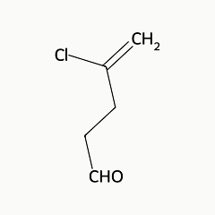 C=C(Cl)CCC=O